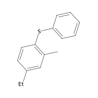 CCc1ccc(Sc2ccccc2)c(C)c1